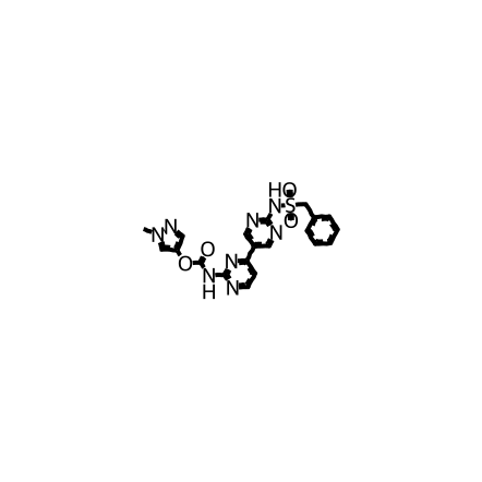 Cn1cc(OC(=O)Nc2nccc(-c3cnc(NS(=O)(=O)Cc4ccccc4)nc3)n2)cn1